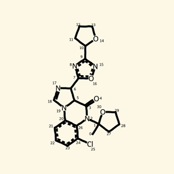 CC1(N2C(=O)C3C(c4nc(C5CCCO5)no4)N=CN3c3cccc(Cl)c32)CCCO1